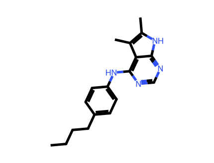 CCCCc1ccc(Nc2ncnc3[nH]c(C)c(C)c23)cc1